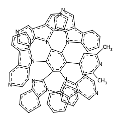 Cc1cc(-c2c(-n3c4ccccc4c4cnccc43)c(-c3nc4ccccc4n3-c3ccccc3)c(-n3c4ccccc4c4cnccc43)c(-n3c4ccccc4c4cnccc43)c2-n2c3ccccc3c3cnccc32)cc(C)n1